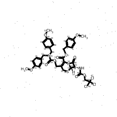 COc1ccc(COC(=O)C2=C(COC(=O)N(Cc3ccc(OC)cc3)Cc3ccc(OC)cc3)CS[C@H]3[C@@H](NC(=O)OCC(Cl)(Cl)Cl)C(=O)N23)cc1